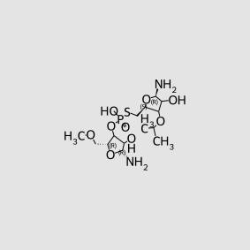 COC[C@H]1O[C@@H](N)C(O)C1OP(=O)(O)SC[C@H]1O[C@@H](N)C(O)C1OC(C)C